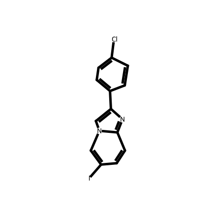 Clc1ccc(-c2cn3cc(I)ccc3n2)cc1